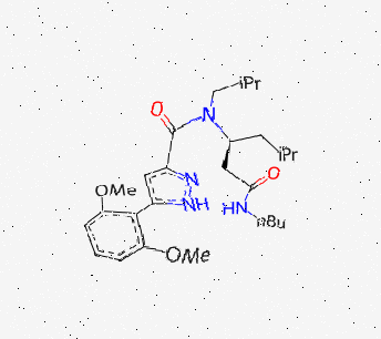 CCCCNC(=O)C[C@H](CC(C)C)N(CC(C)C)C(=O)c1cc(-c2c(OC)cccc2OC)[nH]n1